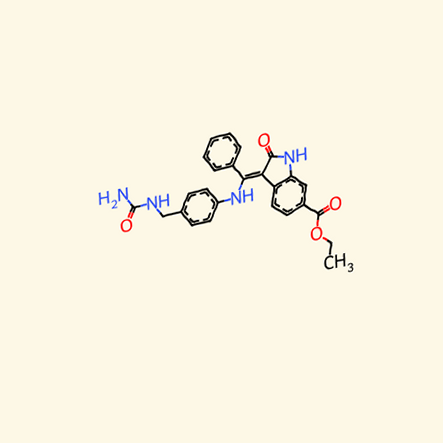 CCOC(=O)c1ccc2c(c1)NC(=O)C2=C(Nc1ccc(CNC(N)=O)cc1)c1ccccc1